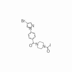 O=C(I)N1CCN(C(=O)c2ccc(-n3cc(Br)cn3)cc2)CC1